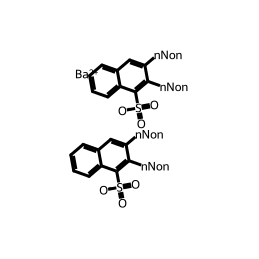 CCCCCCCCCc1cc2ccccc2c(S(=O)(=O)[O-])c1CCCCCCCCC.CCCCCCCCCc1cc2ccccc2c(S(=O)(=O)[O-])c1CCCCCCCCC.[Ba+2]